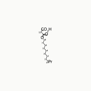 CC(C)CCCCCCCCOC(=O)CC(=O)O